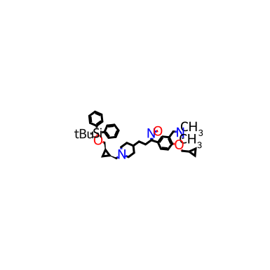 CN(C)Cc1c(OCC2CC2)ccc2c(CCC3CCN(C[C@H]4C[C@H]4CO[Si](c4ccccc4)(c4ccccc4)C(C)(C)C)CC3)noc12